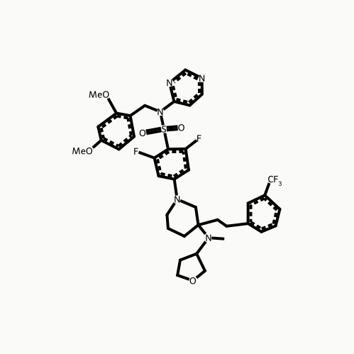 COc1ccc(CN(c2ccncn2)S(=O)(=O)c2c(F)cc(N3CCCC(CCc4cccc(C(F)(F)F)c4)(N(C)C4CCOC4)C3)cc2F)c(OC)c1